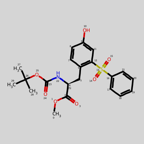 COC(=O)[C@H](Cc1ccc(O)cc1S(=O)(=O)c1ccccc1)NC(=O)OC(C)(C)C